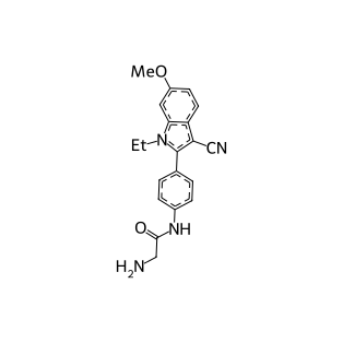 CCn1c(-c2ccc(NC(=O)CN)cc2)c(C#N)c2ccc(OC)cc21